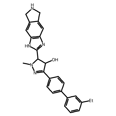 CCc1cccc(-c2ccc(C3=NN(C)C(c4nc5cc6c(cc5[nH]4)CNC6)C3O)cc2)c1